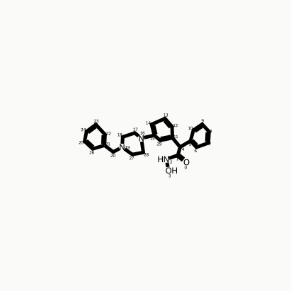 O=C(NO)C(c1ccccc1)c1cccc(N2CCN(Cc3ccccc3)CC2)c1